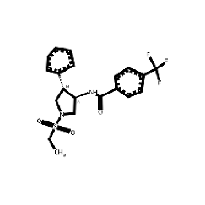 CCS(=O)(=O)N1C[C@H](NC(=O)c2ccc(C(F)(F)F)cc2)[C@@H](c2ccccc2)C1